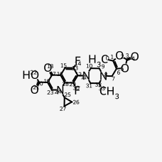 Cc1oc(=O)oc1CN1CCN(c2c(F)cc3c(=O)c(C(=O)O)cn(C4CC4)c3c2F)CC1C